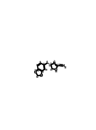 NC1=N[C@@H](Cc2ccc3c(c2)OCO3)CO1